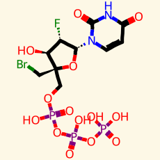 O=c1ccn([C@@H]2O[C@](CBr)(COP(=O)(O)OP(=O)(O)OP(=O)(O)O)[C@@H](O)[C@@H]2F)c(=O)[nH]1